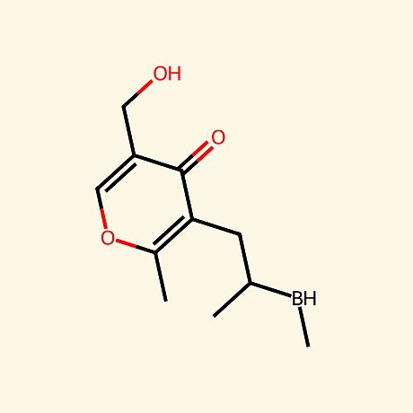 CBC(C)Cc1c(C)occ(CO)c1=O